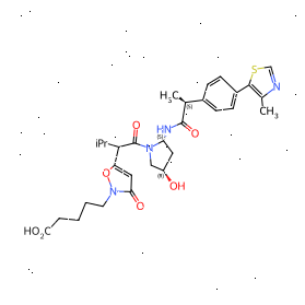 Cc1ncsc1-c1ccc([C@H](C)C(=O)N[C@@H]2C[C@@H](O)CN2C(=O)C(c2cc(=O)n(CCCCC(=O)O)o2)C(C)C)cc1